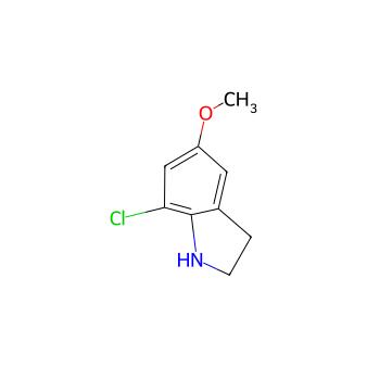 COc1cc(Cl)c2c(c1)CCN2